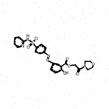 O=C(OCC(=O)N1CCOCC1)c1cc(N=Nc2ccc(S(=O)(=O)Nc3ccccn3)cc2)ccc1O